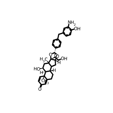 C[C@]12C=CC(=O)C=C1CC[C@H]1C3C[C@H]4O[C@@H](c5ccc(Cc6ccc(O)c(N)c6)cc5)O[C@@]4(C(=O)CO)[C@@]3(C)C[C@H](O)[C@@H]12